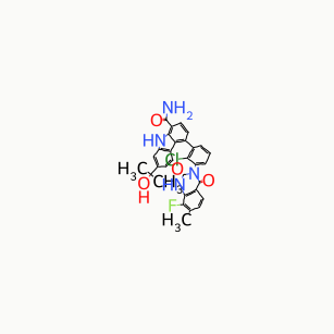 Cc1ccc2c(=O)n(-c3cccc(-c4ccc(C(N)=O)c5[nH]c6cc(C(C)(C)O)ccc6c45)c3Cl)c(=O)[nH]c2c1F